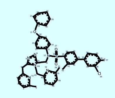 Cc1cccc(Cc2nnc(CN(c3ccc(Oc4ccccc4)cc3)S(=O)(=O)c3ccc(-c4ccc(F)c(Cl)c4)cc3C)n2Cc2cccc(C)n2)n1